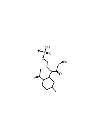 C=C(C)C1CCC(C)CC1N(CCOP(O)(=S)S)C(=O)OC(C)(C)C